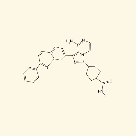 CNC(=O)C1CCC(c2nc(C3=CC=C4C=CC(c5ccccc5)=NC4C3)c3c(N)nccn23)CC1